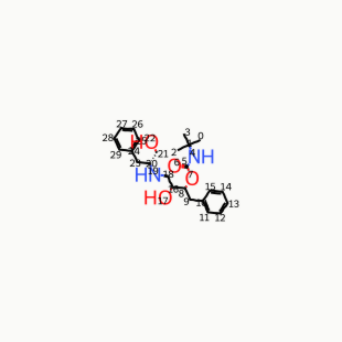 CC(C)(C)NC(=O)OC(Cc1ccccc1)C(O)CN[C@@H](CO)Cc1ccccc1